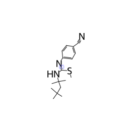 CS/C(=N\c1ccc(C#N)cc1)NC(C)(C)CC(C)(C)C